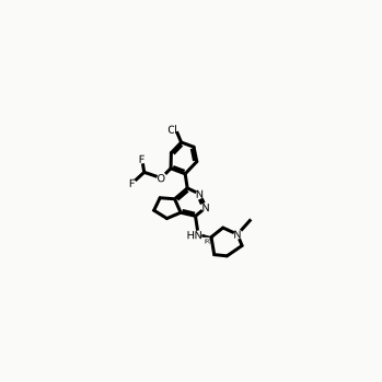 CN1CCC[C@@H](Nc2nnc(-c3ccc(Cl)cc3OC(F)F)c3c2CCC3)C1